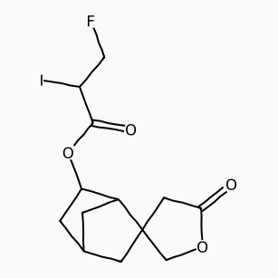 O=C1CC2(CO1)CC1CC(OC(=O)C(I)CF)C2C1